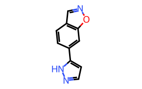 c1cc(-c2ccc3cnoc3c2)[nH]n1